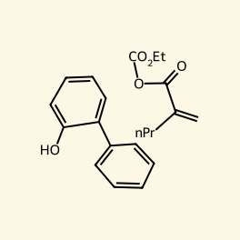 C=C(CCC)C(=O)OC(=O)OCC.Oc1ccccc1-c1ccccc1